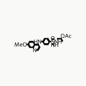 COc1ccc2c(Nc3ccc(S(=N)(=O)NC[C@@H](C)OC(C)=O)cc3)ccnc2c1